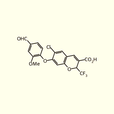 COc1cc(C=O)ccc1Oc1cc2c(cc1Cl)C=C(C(=O)O)C(C(F)(F)F)O2